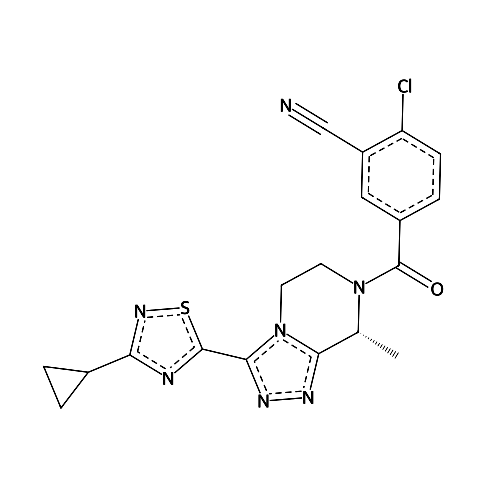 C[C@@H]1c2nnc(-c3nc(C4CC4)ns3)n2CCN1C(=O)c1ccc(Cl)c(C#N)c1